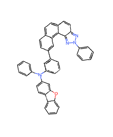 c1ccc(N(c2cccc(-c3ccc4ccc5ccc6nn(-c7ccccc7)nc6c5c4c3)c2)c2ccc3c(c2)oc2ccccc23)cc1